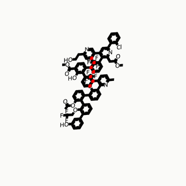 COC(=O)Cc1nc(-c2ccccc2Cl)[c]c(-c2ccc(CCO)nc2)c1-c1cccc(-c2ccc(C(=O)OC)c(O)c2-c2cccc(-c3ccc(C)nc3-c3cccc(-c4cccc(OC(C)=O)c4-c4cccc(-c5cccc(O)c5)c4OCC(F)(F)F)c3OCC(F)(F)F)c2OCC(F)(F)F)c1Cl